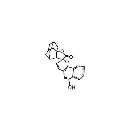 O=C1OC23CC4CC(CC(C4)C2C12C=Cc1cc(O)c4ccccc4c1O2)C3